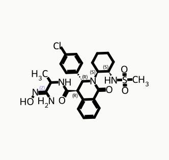 CC(NC(=O)[C@@H]1c2ccccc2C(=O)N([C@H]2CCCC[C@@H]2NS(C)(=O)=O)[C@H]1c1ccc(Cl)cc1)/C(N)=N/O